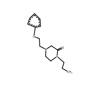 CCCN1CCN(CCOc2ccccc2)CC1=O